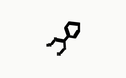 CCC/N=C(\SCC)c1ccccc1